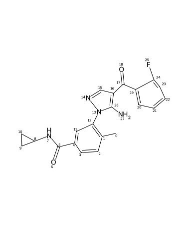 Cc1ccc(C(=O)NC2CC2)cc1-n1ncc(C(=O)c2ccccc2F)c1N